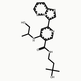 CC(CO)Nc1cc(-c2cnc3cccnn23)ncc1C(=O)NCCC(C)(C)O